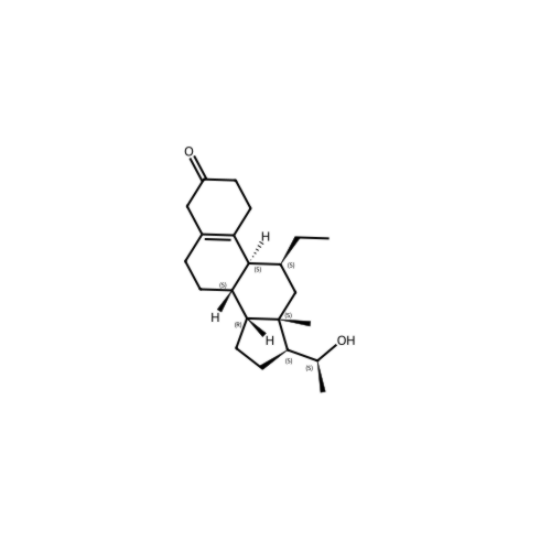 CC[C@H]1C[C@@]2(C)[C@H](CC[C@@H]2[C@H](C)O)[C@@H]2CCC3=C(CCC(=O)C3)[C@@H]12